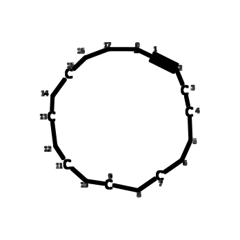 [C]1C#CCCCCCCCCCCCCCCC1